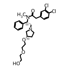 CN(C(=O)Cc1ccc(Cl)c(Cl)c1)[C@H](CN1CC[C@H](OCCOCCO)C1)c1ccccc1